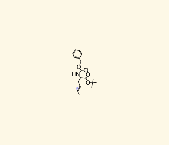 C/C=C/CC(NC(=O)OCc1ccccc1)C(=O)OC(C)(C)C